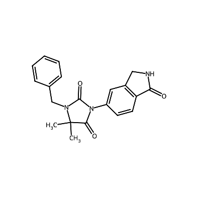 CC1(C)C(=O)N(c2ccc3c(c2)CNC3=O)C(=O)N1Cc1ccccc1